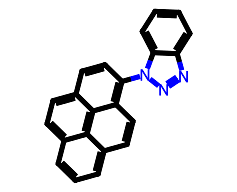 c1cc2ccc3ccc(-n4nnc5ccccc54)c4ccc(c1)c2c34